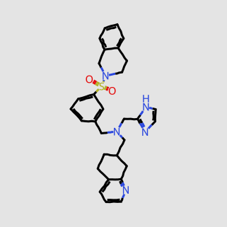 O=S(=O)(c1cccc(CN(Cc2ncc[nH]2)CC2CCc3cccnc3C2)c1)N1CCc2ccccc2C1